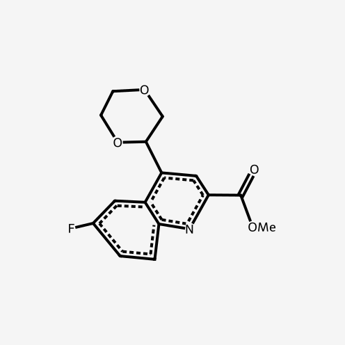 COC(=O)c1cc(C2COCCO2)c2cc(F)ccc2n1